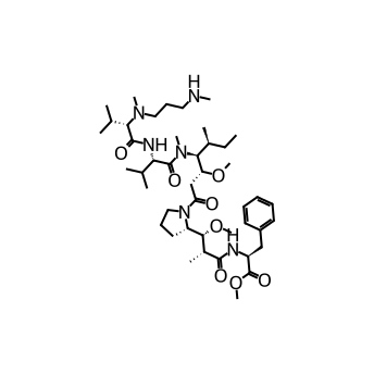 CC[C@H](C)[C@@H]([C@@H](CC(=O)N1CCC[C@H]1[C@H](OC)[C@@H](C)C(=O)N[C@@H](Cc1ccccc1)C(=O)OC)OC)N(C)C(=O)[C@@H](NC(=O)[C@H](C(C)C)N(C)CCCNC)C(C)C